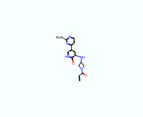 C=CC(=O)N1CC(Nc2cc(-c3ccnc(NC)n3)c[nH]c2=O)C1